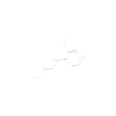 CCCOc1ccccc1NCCC(=O)O